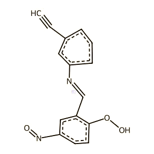 C#Cc1cccc(/N=C/c2cc(N=O)ccc2OO)c1